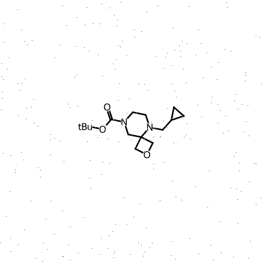 CC(C)(C)OC(=O)N1CCN(CC2CC2)C2(COC2)C1